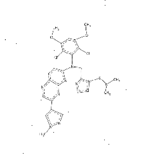 COc1cc(OC)c(Cl)c(N(Cc2nccn2SN(C)C)c2ccc3ncc(-c4cnn(C)c4)nc3n2)c1Cl